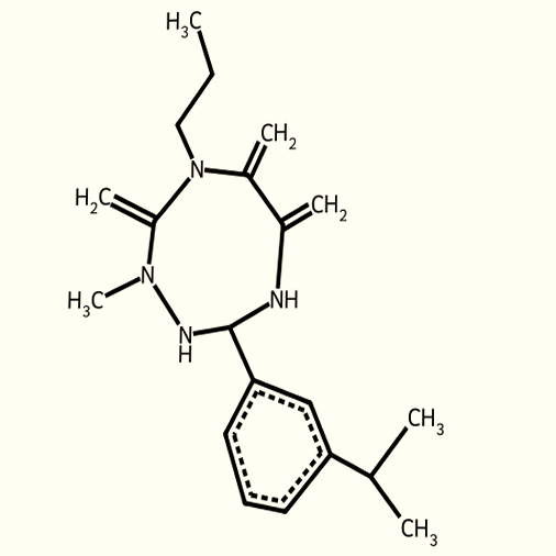 C=C1NC(c2cccc(C(C)C)c2)NN(C)C(=C)N(CCC)C1=C